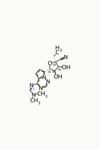 CC[C@@]1(C#N)O[C@@H](c2ccc3c(/N=C\N(C)C)ncnn23)[C@H](O)[C@@H]1O